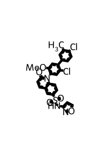 COc1cc(-c2ccc(Cl)c(C)c2)c(Cl)cc1-n1c(=O)ccc2cc(S(=O)(=O)Nc3ccon3)ccc21